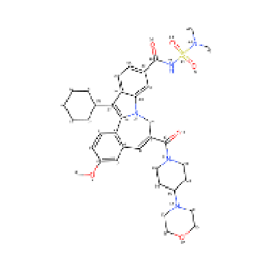 COc1ccc2c(c1)C=C(C(=O)N1CCC(N3CCOCC3)CC1)Cn1c-2c(C2CCCCC2)c2ccc(C(=O)NS(=O)(=O)N(C)C)cc21